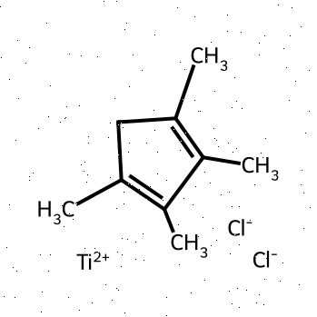 CC1=C(C)C(C)=C(C)C1.[Cl-].[Cl-].[Ti+2]